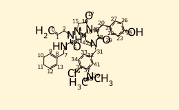 C=CCN(C(=O)NCC1=CCCC=C1)N1CC(=O)N2[C@@H](Cc3ccc(O)cc3)C(=O)N(Cc3ccc(Cl)c(N(C)C)c3)C[C@@H]21